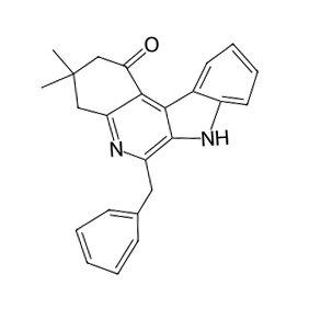 CC1(C)CC(=O)c2c(nc(Cc3ccccc3)c3[nH]c4ccccc4c23)C1